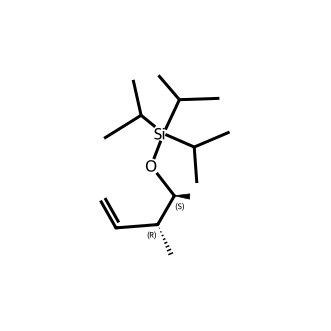 C=C[C@@H](C)[C@H](C)O[Si](C(C)C)(C(C)C)C(C)C